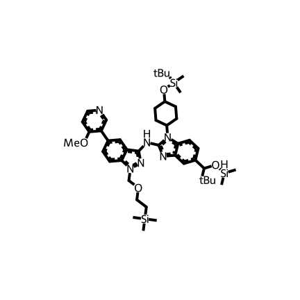 COc1ccncc1-c1ccc2c(c1)c(Nc1nc3cc(C(O[SiH](C)C)C(C)(C)C)ccc3n1C1CCC(O[Si](C)(C)C(C)(C)C)CC1)nn2COCC[Si](C)(C)C